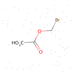 O=C(O)C(=O)OCBr